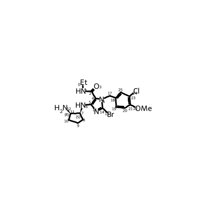 CCNC(=O)c1c(N[C@H]2CCC[C@H]2N)nc(Br)n1Cc1ccc(OC)c(Cl)c1